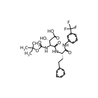 CC(C)(C)OC(=O)NC(C(=O)N[C@@H](CCc1ccccc1)C(=O)Nc1cccc(C(F)(F)F)c1)[C@H](O)C(=O)O